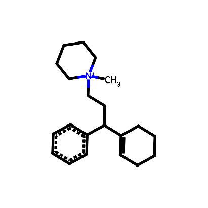 C[N+]1(CCC(C2=CCCCC2)c2ccccc2)CCCCC1